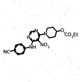 CCOC(=O)OC1CCN(c2ncnc(Nc3ccc(C#N)cc3)c2[N+](=O)[O-])CC1